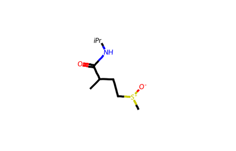 CC(C)NC(=O)C(C)CC[S+](C)[O-]